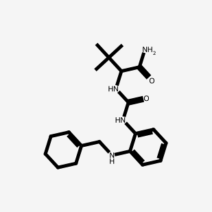 CC(C)(C)C(NC(=O)Nc1ccccc1NCC1=CCCCC1)C(N)=O